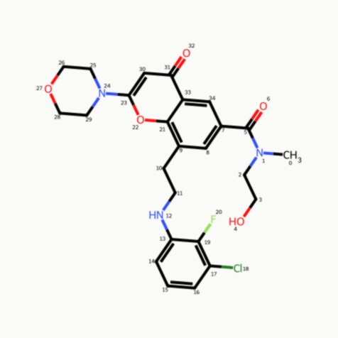 CN(CCO)C(=O)c1cc(CCNc2cccc(Cl)c2F)c2oc(N3CCOCC3)cc(=O)c2c1